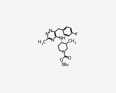 Cc1nnc(Cc2ccc(F)cc2)c(N[C@H]2CCN(C(=O)OC(C)(C)C)C[C@@H]2C)n1